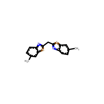 Cc1ccc2nc(Cc3nc4ccc(C)cc4s3)sc2c1